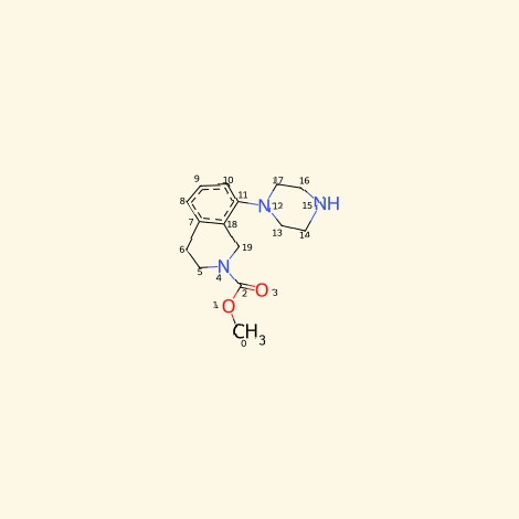 COC(=O)N1CCc2cccc(N3CCNCC3)c2C1